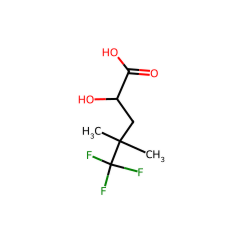 CC(C)(CC(O)C(=O)O)C(F)(F)F